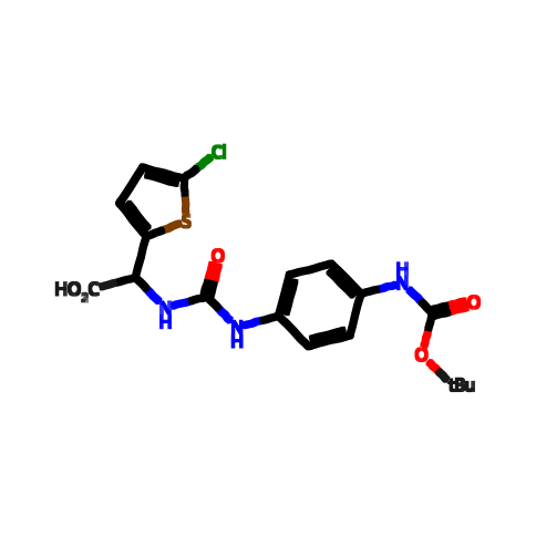 CC(C)(C)OC(=O)Nc1ccc(NC(=O)NC(C(=O)O)c2ccc(Cl)s2)cc1